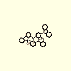 CC1(C)c2ccccc2-c2cccc(N3c4ccccc4C45CCC(c6ccccc64)c4c(-n6c7ccccc7c7ccccc76)ccc3c45)c21